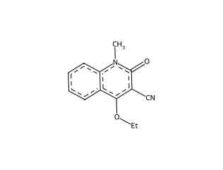 CCOc1c(C#N)c(=O)n(C)c2ccccc12